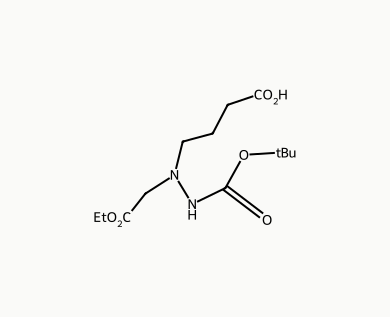 CCOC(=O)CN(CCCC(=O)O)NC(=O)OC(C)(C)C